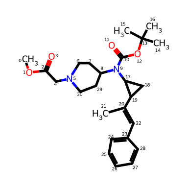 COC(=O)CN1CCC(N(C(=O)OC(C)(C)C)C2CC2/C(C)=C/c2ccccc2)CC1